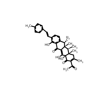 CC(=O)C1=C(C)C[C@@]2(C)[C@H](C)[C@]3(C)C(=C(O)[C@@]2(O)C1=O)C(=O)c1c(ccc(/C=C/c2ccc(C)cc2)c1O)[C@H]3C